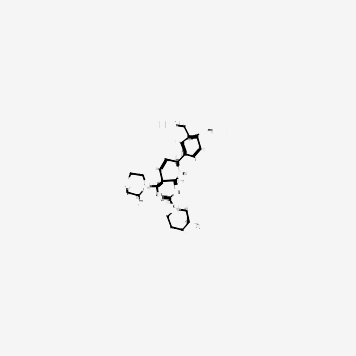 COc1ccc(-c2ccc3c(N4CCOC[C@@H]4C)nc(N4CCC[C@@H](O)C4)nc3n2)cc1CO